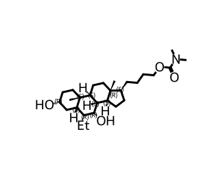 CC[C@H]1[C@@H](O)[C@@H]2[C@H](CC[C@]3(C)[C@@H](CCCCOC(=O)N(C)C)CC[C@@H]23)[C@@]2(C)CC[C@@H](O)C[C@@H]12